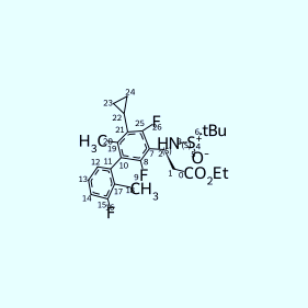 CCOC(=O)C[C@H](N[S@+]([O-])C(C)(C)C)c1c(F)c(-c2cccc(F)c2C)c(C)c(C2CC2)c1F